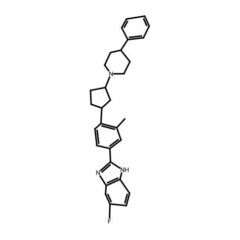 Cc1cc(-c2nc3cc(F)ccc3[nH]2)ccc1C1CCC(N2CCC(c3ccccc3)CC2)C1